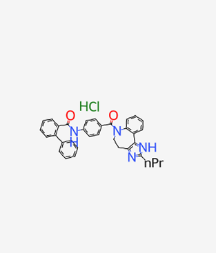 CCCc1nc2c([nH]1)-c1ccccc1N(C(=O)c1ccc(NC(=O)c3ccccc3-c3ccccc3)cc1)CC2.Cl